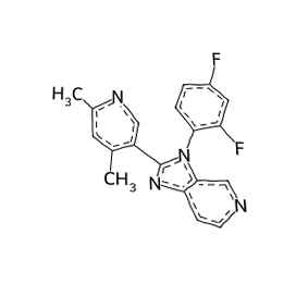 Cc1cc(C)c(-c2nc3ccncc3n2-c2ccc(F)cc2F)cn1